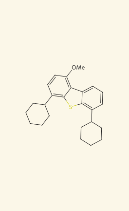 COc1ccc(C2CCCCC2)c2sc3c(C4CCCCC4)cccc3c12